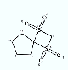 O=S1(=O)CS(=O)(=O)C12CCCC2